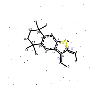 C/C=c1\c(=C/C)sc2cc3c(cc12)C(C)(C)CCC3(C)C